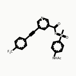 CC(=O)Nc1ccc(S(C)(=O)=NC(=O)c2cncc(C#Cc3ccc(C(F)(F)F)cc3)c2)cc1